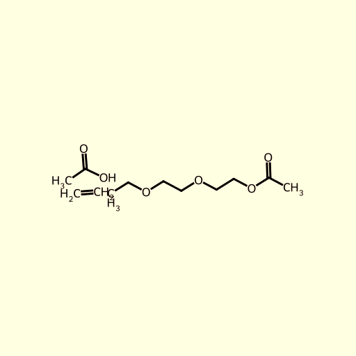 C=C.CC(=O)O.CCOCCOCCOC(C)=O